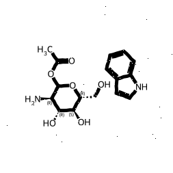 CC(=O)OC1O[C@H](CO)[C@@H](O)[C@H](O)[C@H]1N.c1ccc2[nH]ccc2c1